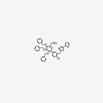 OC[C@H]1O[C@@H](c2ccc(Cl)c(Cc3ncc(-c4ccco4)s3)c2)[C@H](OCc2ccccc2)[C@@H](OCc2ccccc2)[C@@H]1OCc1ccccc1